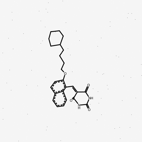 O=C1NC(=O)C(=Cc2c(OCCCCC3CCCCC3)ccc3ccccc23)C(=O)N1